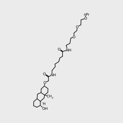 CCCOCCOCCOCCCNC(=O)CCCCCCNC(=O)CO[C@H]1CC[C@]2(C)C[C@@H]3C(CCC[C@@H]3O)CC2C1